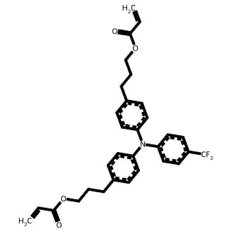 C=CC(=O)OCCCc1ccc(N(c2ccc(CCCOC(=O)C=C)cc2)c2ccc(C(F)(F)F)cc2)cc1